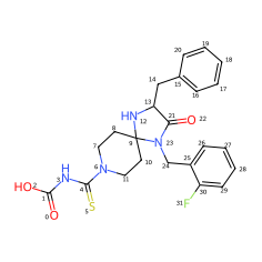 O=C(O)NC(=S)N1CCC2(CC1)NC(Cc1ccccc1)C(=O)N2Cc1ccccc1F